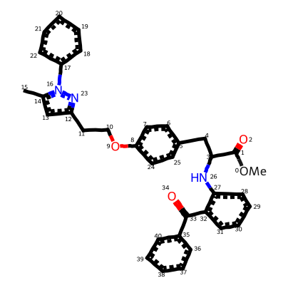 COC(=O)C(Cc1ccc(OCCc2cc(C)n(-c3ccccc3)n2)cc1)Nc1ccccc1C(=O)c1ccccc1